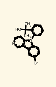 CC(C)(O)c1ccccc1-n1c2ccncc2c2cc(Br)ccc21